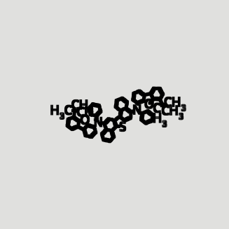 CC(C)(C)c1cccc2c1oc1c(N(c3ccccc3)c3cc4c(sc5cc(N(c6ccccc6)c6cccc7c6oc6c(C(C)(C)C)cccc67)c6ccccc6c54)c4ccccc34)cccc12